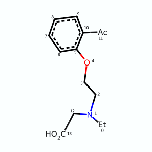 CCN(CCOc1ccccc1C(C)=O)CC(=O)O